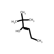 CCC=C(O)C(C)(C)C